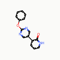 O=c1[nH]cccc1-c1cnc(Oc2ccccc2)nc1